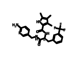 Cc1[nH]c(C(=O)N[C@@H](Cc2cccc(C(F)(F)F)c2)C(=O)NCc2ccc(N)nc2)c(C)c1C